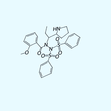 CCC(C1CCCN1)N(C(=O)c1ccccc1OC)N(S(=O)(=O)c1ccccc1)S(=O)(=O)c1ccccc1